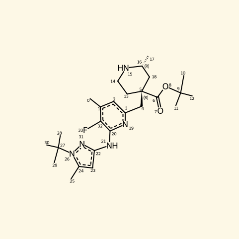 Cc1cc(C[C@@]2(C(=O)OC(C)(C)C)CCN[C@H](C)C2)nc(Nc2cc(C)n(C(C)(C)C)n2)c1F